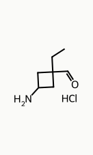 CCC1(C=O)CC(N)C1.Cl